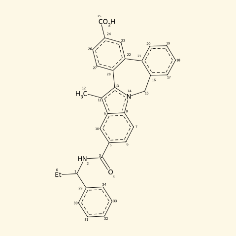 CCC(NC(=O)c1ccc2c(c1)c(C)c1n2Cc2ccccc2-c2cc(C(=O)O)ccc2-1)c1ccccc1